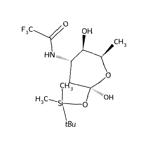 C[C@H]1O[C@@](O)(O[Si](C)(C)C(C)(C)C)C[C@H](NC(=O)C(F)(F)F)[C@H]1O